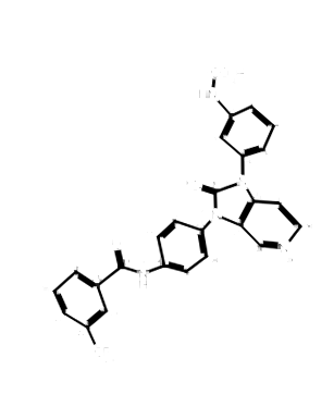 O=C(O)Nc1cccc(-n2c(=O)n(-c3ccc(NC(=O)c4cccc(C(F)(F)F)c4)cc3)c3cnccc32)c1